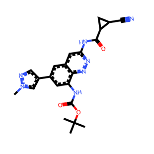 Cn1cc(-c2cc(NC(=O)OC(C)(C)C)c3nnc(NC(=O)C4CC4C#N)cc3c2)cn1